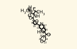 CNC(=O)[C@@H](NC(=O)c1ccc(-c2cc3[nH]c(C(=O)N4CCOCC4)cc3cn2)o1)C(C)C